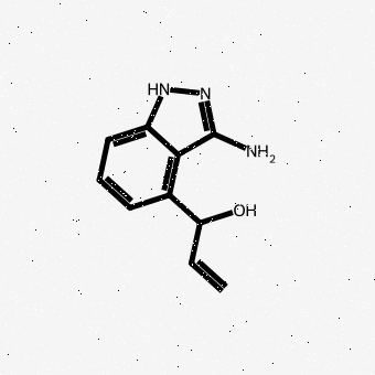 C=CC(O)c1cccc2[nH]nc(N)c12